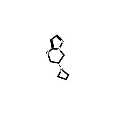 c1cc2n(n1)C[C@H](N1CCC1)CO2